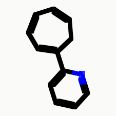 C1=CC=C(c2ccccn2)CC=C1